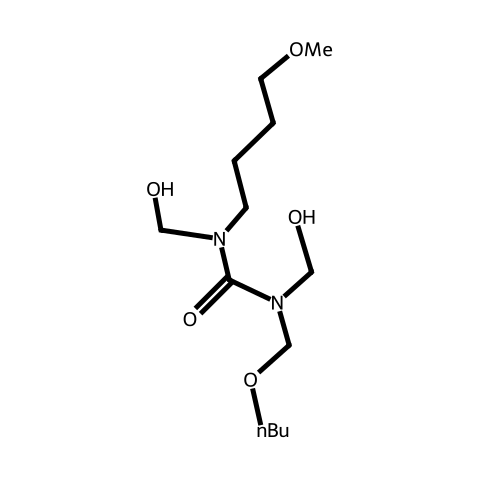 CCCCOCN(CO)C(=O)N(CO)CCCCOC